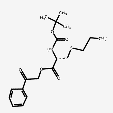 [CH2][CH]CSC[C@@H](NC(=O)OC(C)(C)C)C(=O)OCC(=O)c1ccccc1